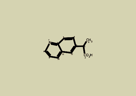 CC(C(=O)O)c1ccc2ncccc2c1